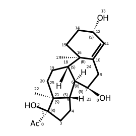 CC(=O)[C@@]1(O)CC[C@H]2[C@@H]3[C@H](O)CC4=C[C@@H](O)CC[C@]4(C)[C@H]3CC[C@@]21C